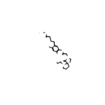 CCCCNC(=O)CC[C@H](CC)c1cc(NC(=O)[C@H](C)N2CC[C@@]3(CCCN3CCF)C2=O)c(O)cc1C